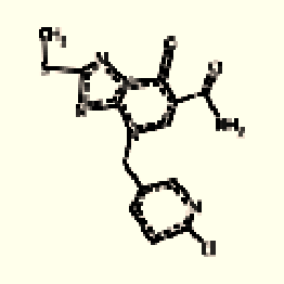 CSc1nc2n(Cc3ccc(Cl)nc3)cc(C(N)=O)c(=O)n2n1